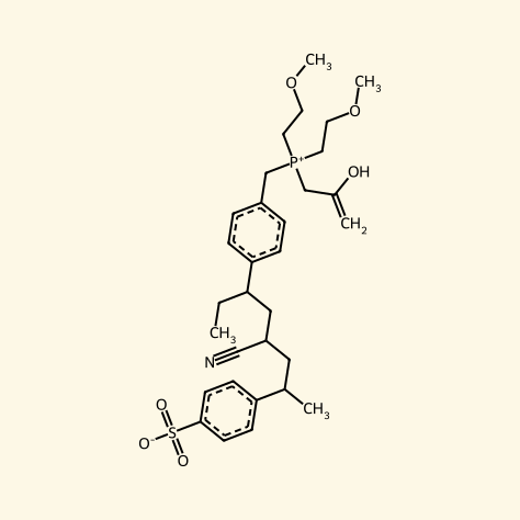 C=C(O)C[P+](CCOC)(CCOC)Cc1ccc(C(CC)CC(C#N)CC(C)c2ccc(S(=O)(=O)[O-])cc2)cc1